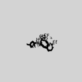 CCN1CCCc2cc(N=Nc3ccc(C)cn3)c(NS(=O)(=O)C(F)(F)F)cc21